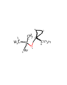 CC(C)(C)[Si](C)(C)OC1(C(=O)O)CC1